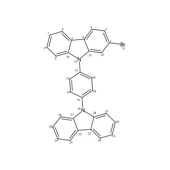 Brc1ccc2c3ccccc3n(-c3ccc(-n4c5ccccc5c5ccccc54)cc3)c2c1